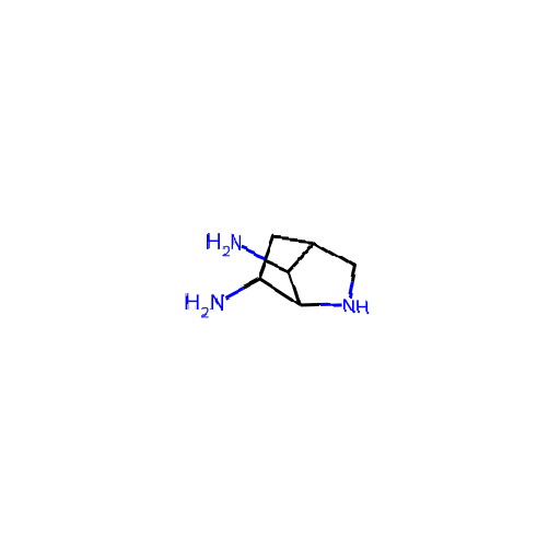 NC1CC2CNC1C2N